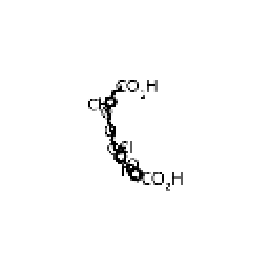 O=C(O)CCc1ccc(OCCCOCCCOc2ccc(-c3nc4ccc(C(=O)O)cc4o3)cc2Cl)c(Cl)c1